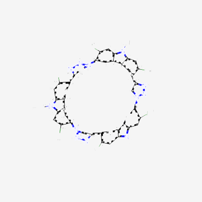 Cn1c2cc(F)c3cc2c2cc(c(F)cc21)n1cc(nn1)c1cc2c4cc(c(F)cc4n(C)c2cc1F)n1cc(nn1)c1cc2c4cc(c(F)cc4n(C)c2cc1F)n1cc3nn1